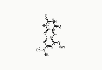 CCCOc1cc(N(CC)CC)ccc1C=C1C(=O)NC(=S)NC1=O